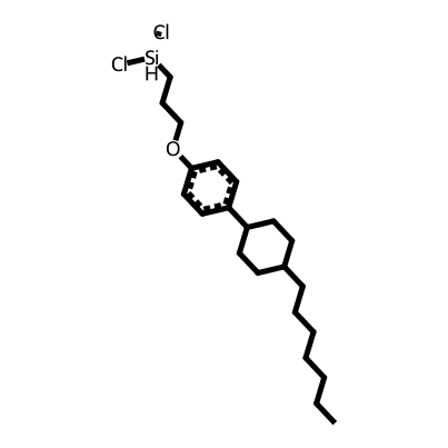 CCCCCCCC1CCC(c2ccc(OCCC[SiH](Cl)Cl)cc2)CC1